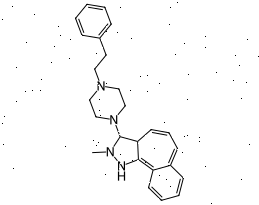 CN1NC2=c3ccccc3=CC=CC2C1N1CCN(CCc2ccccc2)CC1